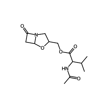 CC(=O)NC(C(=O)OCC1CN2C(=O)CC2O1)C(C)C